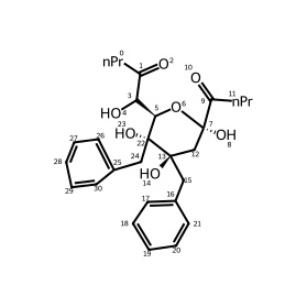 CCCC(=O)C(O)[C@H]1O[C@@](O)(C(=O)CCC)C[C@](O)(Cc2ccccc2)[C@@]1(O)Cc1ccccc1